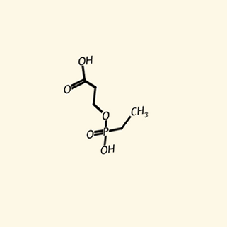 CCP(=O)(O)OCCC(=O)O